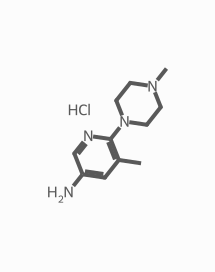 Cc1cc(N)cnc1N1CCN(C)CC1.Cl